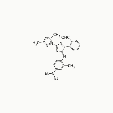 CCN(CC)c1ccc(/N=C2\N=C(n3nc(C)cc3C)N=C2c2ccccc2C=O)c(C)c1